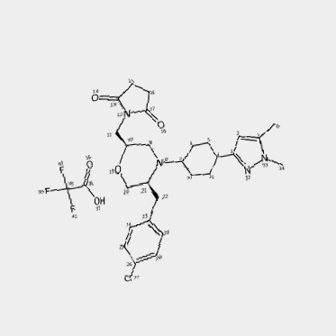 Cc1cc(C2CCC(N3C[C@H](CN4C(=O)CCC4=O)OC[C@@H]3Cc3ccc(Cl)cc3)CC2)nn1C.O=C(O)C(F)(F)F